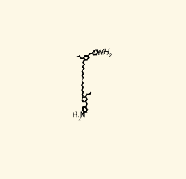 CCCc1cc(Cc2ccc(N)cc2)ccc1CCCCCCCCCCCCCCCc1ccc(Cc2ccc(N)cc2)cc1CCC